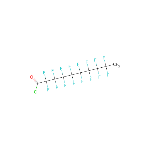 O=C(Cl)C(F)(F)C(F)(F)C(F)(F)C(F)(F)C(F)(F)C(F)(F)C(F)(F)C(F)(F)C(F)(F)F